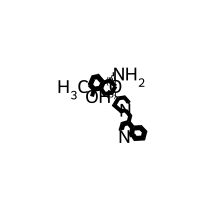 Cc1ccc2c(c1O)C[C@@H](C1CCN(Cc3ccnc4ccccc34)CC1)O[C@H]2CN